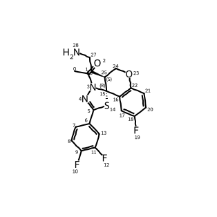 CC(=O)N1N=C(c2ccc(F)c(F)c2)S[C@]12c1cc(F)ccc1OC[C@@H]2CCN